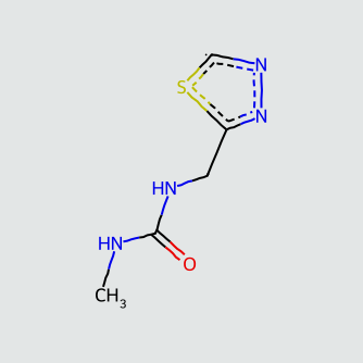 CNC(=O)NCc1nn[c]s1